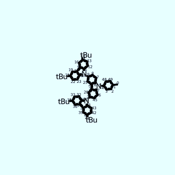 Cc1ccc(-n2c3ccc(-n4c5ccc(C(C)(C)C)cc5c5cc(C(C)(C)C)ccc54)cc3c3cc(-n4c5ccc(C(C)(C)C)cc5c5cc(C(C)(C)C)ccc54)ccc32)cc1